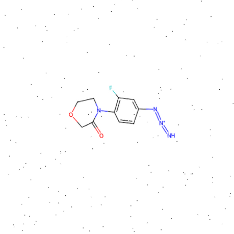 N=[N+]=Nc1ccc(N2CCOCC2=O)c(F)c1